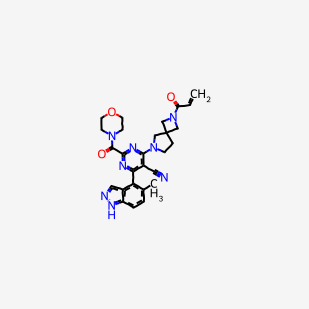 C=CC(=O)N1CC2(CCN(c3nc(C(=O)N4CCOCC4)nc(-c4c(C)ccc5[nH]ncc45)c3C#N)C2)C1